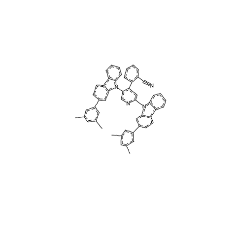 Cc1cc(C)cc(-c2ccc3c4ccccc4n(-c4cc(-c5ccccc5C#N)c(-n5c6ccccc6c6ccc(-c7cc(C)cc(C)c7)cc65)cn4)c3c2)c1